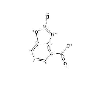 O=C(Cl)c1cccc2oc(Cl)nc12